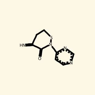 N=C1CCSN(c2ccn[c]n2)C1=O